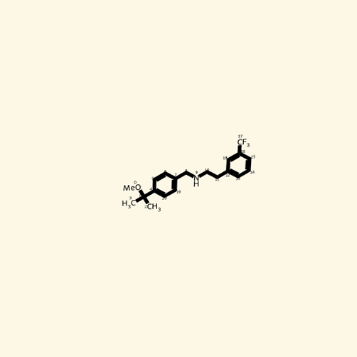 COC(C)(C)c1ccc(CNCCc2cccc(C(F)(F)F)c2)cc1